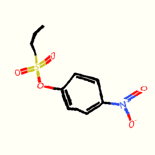 CCS(=O)(=O)Oc1ccc([N+](=O)[O-])cc1